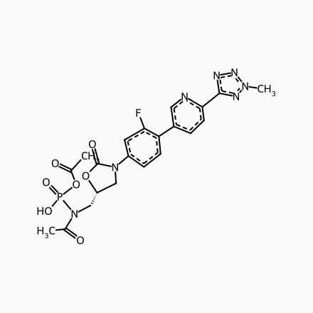 CC(=O)OP(=O)(O)N(C[C@H]1CN(c2ccc(-c3ccc(-c4nnn(C)n4)nc3)c(F)c2)C(=O)O1)C(C)=O